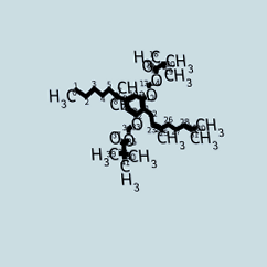 CCCCCCC(C)(C)c1cc(OCOC(=O)C(C)(C)C)c(CC=C(C)CCC=C(C)C)c(OCOC(=O)C(C)(C)C)c1